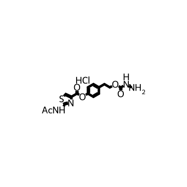 CC(=O)Nc1nc(C(=O)Oc2ccc(CCOC(=O)NN)cc2)cs1.Cl